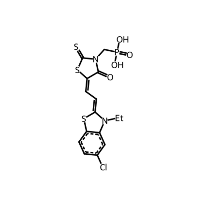 CCN1/C(=C/C=C2/SC(=S)N(CP(=O)(O)O)C2=O)Sc2ccc(Cl)cc21